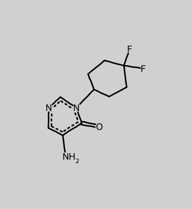 Nc1cncn(C2CCC(F)(F)CC2)c1=O